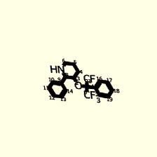 FC(F)(F)C(OC1CCCNC1c1ccccc1)(c1ccccc1)C(F)(F)F